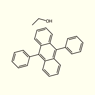 CCO.c1ccc(-c2c3ccccc3c(-c3ccccc3)c3ccccc23)cc1